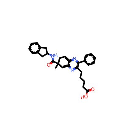 CC1(C(=O)NC2Cc3ccccc3C2)C=c2nc(CCCCC(=O)O)c(-c3ccccc3)nc2=CC1